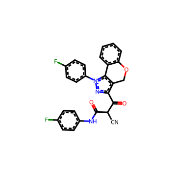 N#CC(C(=O)Nc1ccc(F)cc1)C(=O)c1nn(-c2ccc(F)cc2)c2c1COc1ccccc1-2